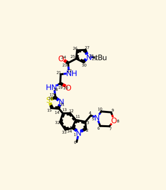 Cn1cc(CN2CCOCC2)c2cc(-c3csc(NC(=O)CNC(=O)c4ccn(C(C)(C)C)c4)n3)ccc21